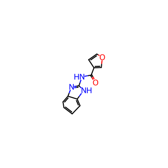 O=C(Nc1nc2ccccc2[nH]1)c1ccoc1